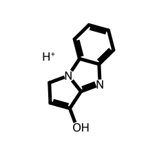 OC1=CCn2c1nc1ccccc12.[H+]